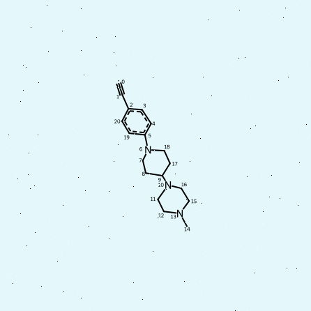 [C]#Cc1ccc(N2CCC(N3CCN(C)CC3)CC2)cc1